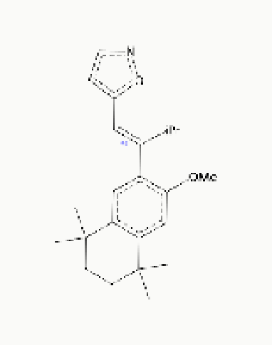 COc1cc2c(cc1/C(=C/c1ccno1)C(C)C)C(C)(C)CCC2(C)C